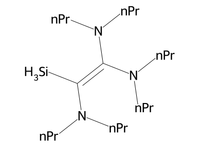 CCCN(CCC)C([SiH3])=C(N(CCC)CCC)N(CCC)CCC